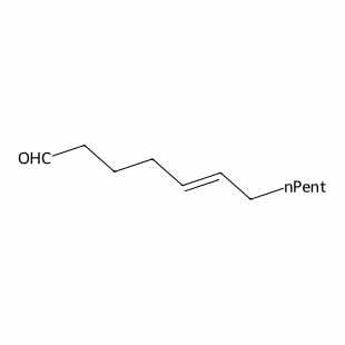 CCCCCCC=CCCCC=O